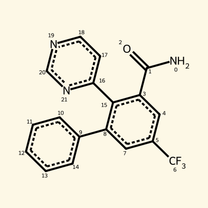 NC(=O)c1cc(C(F)(F)F)cc(-c2ccccc2)c1-c1ccncn1